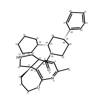 Cc1ccc2c(n1)OCCC[C@]21CNCC1C(=O)N1CC[C@@H](c2ccccc2)C[C@H]1C1CCCCC1